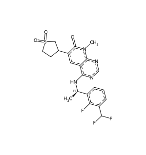 C[C@@H](Nc1ncnc2c1cc(C1CCS(=O)(=O)C1)c(=O)n2C)c1cccc(C(F)F)c1F